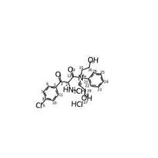 CNC(C(=O)c1ccc(Cl)cc1)C(=O)[N+](CCO)(CCO)c1ccccc1.Cl